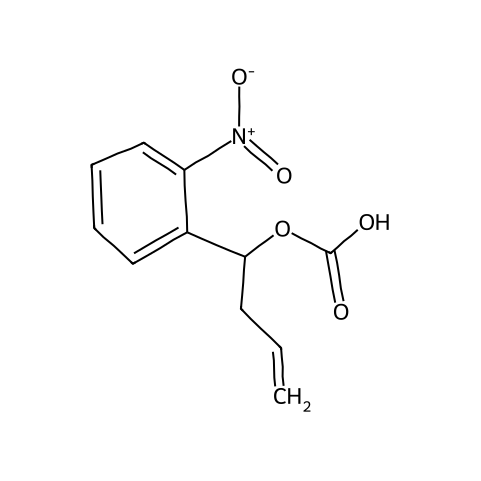 C=CCC(OC(=O)O)c1ccccc1[N+](=O)[O-]